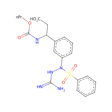 CCCOC(=O)NC(CC(=O)O)c1cccc(N(NC(=N)N)S(=O)(=O)c2ccccc2)c1